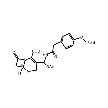 CCCCCOc1ccc(CC(=O)NC(OC(C)=O)C2=C(C(=O)O)N3C(=O)C[C@H]3SC2)cc1